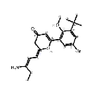 CC/C(N)=C\C=C1/CC(=O)C=C(c2cc(Br)cc(C(C)(C)C)c2OC)O1